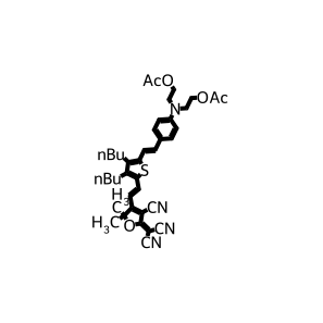 CCCCc1c(/C=C/C2=C(C#N)C(=C(C#N)C#N)OC2(C)C)sc(/C=C/c2ccc(N(CCOC(C)=O)CCOC(C)=O)cc2)c1CCCC